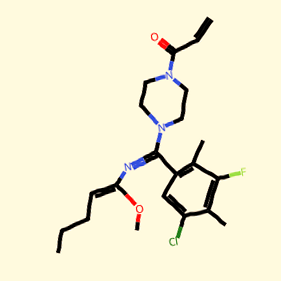 C=CC(=O)N1CCN(/C(=N/C(=C/CCC)OC)c2cc(Cl)c(C)c(F)c2C)CC1